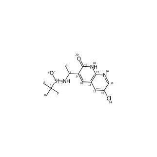 CC(N[S+]([O-])C(C)(C)C)c1cc2cc(Cl)cnc2[nH]c1=O